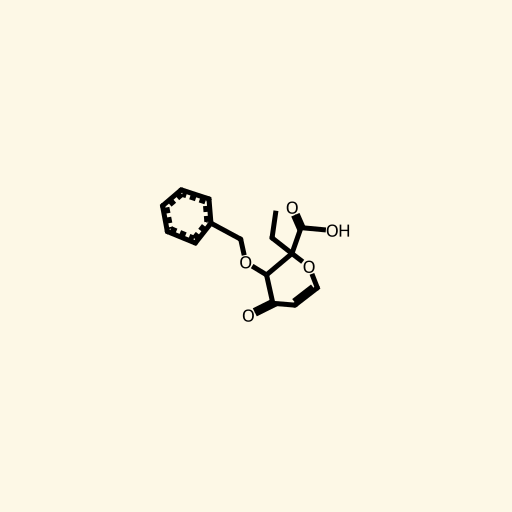 CCC1(C(=O)O)OC=CC(=O)C1OCc1ccccc1